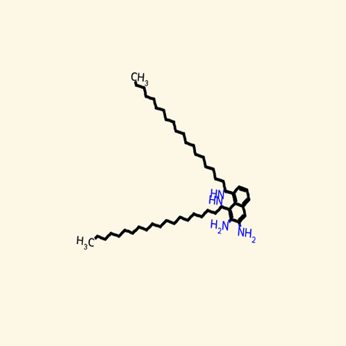 CCCCCCCCCCCCCCCCCCCC(=N)c1cccc2cc(N)c(N)c(C(=N)CCCCCCCCCCCCCCCCCCC)c12